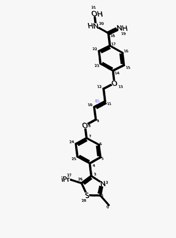 Cc1nc(-c2ccc(OC/C=C/COc3ccc(C(=N)NO)cc3)cc2)c(C(C)C)s1